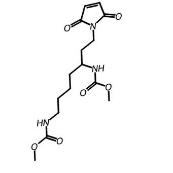 COC(=O)NCCCCC(CCN1C(=O)C=CC1=O)NC(=O)OC